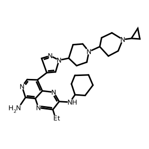 CCc1nc2c(N)ncc(-c3cnn(C4CCN(C5CCN(C6CC6)CC5)CC4)c3)c2nc1NC1CCCCC1